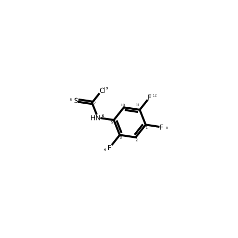 Fc1cc(F)c(NC(=S)Cl)cc1F